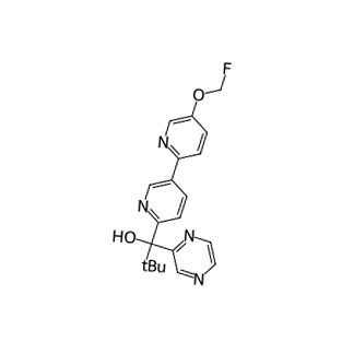 CC(C)(C)C(O)(c1ccc(-c2ccc(OCF)cn2)cn1)c1cnccn1